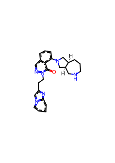 O=c1c2c(N3C[C@H]4CCCNC[C@H]4C3)cccc2cnn1CCc1cn2ccccc2n1